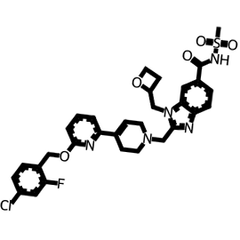 CS(=O)(=O)NC(=O)c1ccc2nc(CN3CC=C(c4cccc(OCc5ccc(Cl)cc5F)n4)CC3)n(CC3CCO3)c2c1